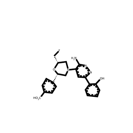 Nc1nnc(-c2ccccc2O)cc1N1C[C@@H](CF)O[C@@H](c2ccc(C(=O)O)cc2)C1